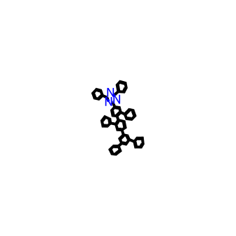 c1ccc(-c2cc(-c3ccccc3)cc(-c3ccc(-c4ccc(-c5nc(-c6ccccc6)nc(-c6ccccc6)n5)cc4-c4ccccc4)c(-c4ccccc4)c3)c2)cc1